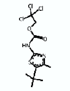 Cc1nc(NC(=O)OCC(Cl)(Cl)Cl)sc1C(C)(C)C